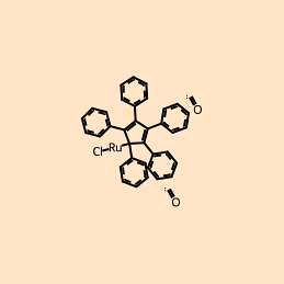 [C]=O.[C]=O.[Cl][Ru][C]1(c2ccccc2)C(c2ccccc2)=C(c2ccccc2)C(c2ccccc2)=C1c1ccccc1